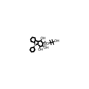 CC(C)(O)C(C)(C)OBc1c(O)c(O)c2c(c1O)c1ccccc1n2-c1ccccc1